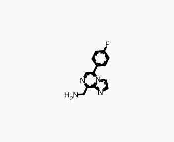 NCc1ncc(-c2ccc(F)cc2)n2ccnc12